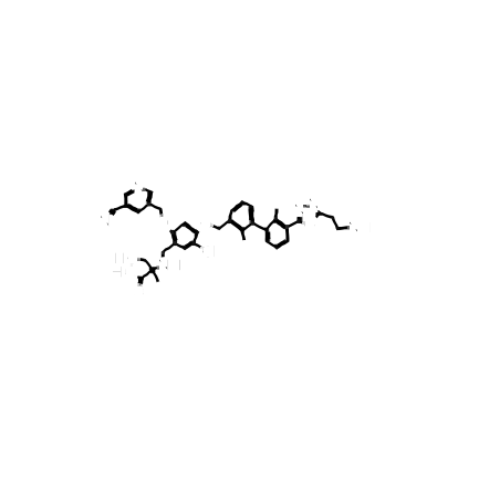 Cc1c(COc2cc(OCc3cncc(C#N)c3)c(CNC(C)(CO)C(=O)O)cc2Cl)cccc1-c1cccc(-c2nnc(CCN)o2)c1C